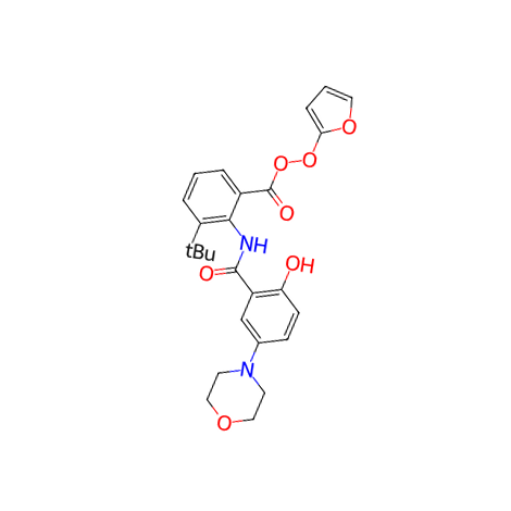 CC(C)(C)c1cccc(C(=O)OOc2ccco2)c1NC(=O)c1cc(N2CCOCC2)ccc1O